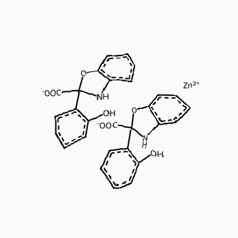 O=C([O-])C1(c2ccccc2O)Nc2ccccc2O1.O=C([O-])C1(c2ccccc2O)Nc2ccccc2O1.[Zn+2]